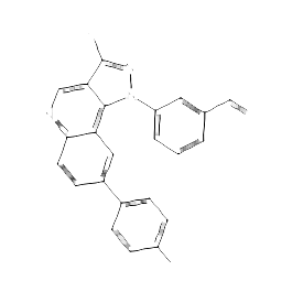 Cc1nn(-c2cccc(C=O)c2)c2c1cnc1ccc(-c3ccc(Cl)cc3)cc12